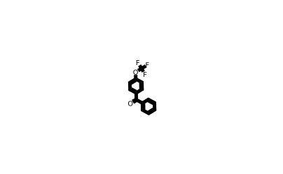 O=C(c1ccccc1)c1ccc(OC(F)(F)F)cc1